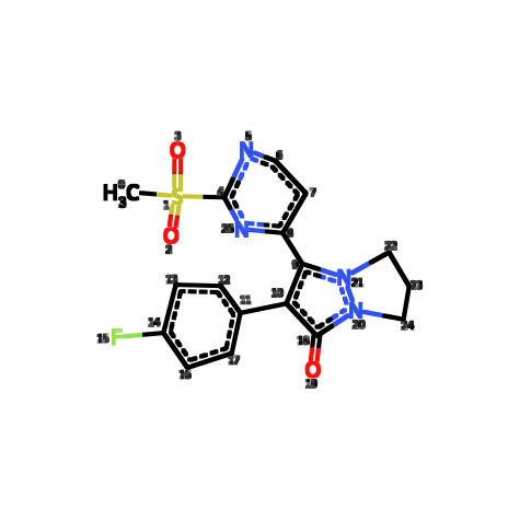 CS(=O)(=O)c1nccc(-c2c(-c3ccc(F)cc3)c(=O)n3n2CCC3)n1